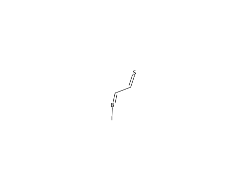 S=CC=BI